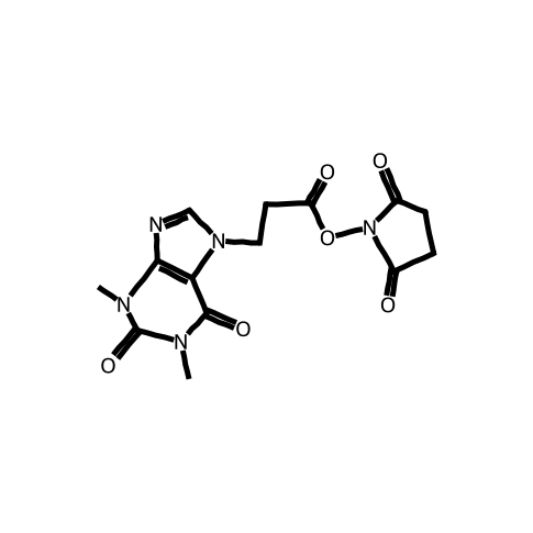 Cn1c(=O)c2c(ncn2CCC(=O)ON2C(=O)CCC2=O)n(C)c1=O